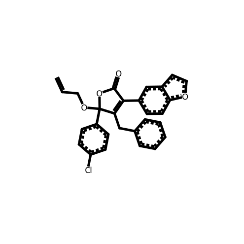 C=CCOC1(c2ccc(Cl)cc2)OC(=O)C(c2ccc3occc3c2)=C1Cc1ccccc1